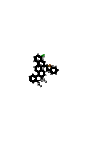 Cc1ccccc1C1=c2ccc3c(c2CCC1C)C(c1cc2ccccc2s1)C=c1c(F)cccc1=3